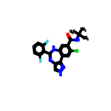 CC(C)(C)NC(=O)c1cc2c(cc1Cl)-c1n[nH]cc1N=C(c1c(F)cccc1F)N2